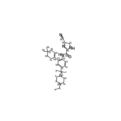 CCN1CCN(C(C)(C)c2ccc(NC(=O)C3=NC(C#N)CN3)c(C3=CCC(C)(C)CC3)c2)CC1